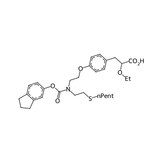 CCCCCSCCN(CCOc1ccc(CC(OCC)C(=O)O)cc1)C(=O)Oc1ccc2c(c1)CCC2